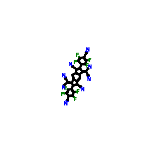 N#CC(C#N)=C1C(c2c(F)c(F)c(C#N)c(F)c2F)=C(C#N)c2cc3c(cc21)C(C#N)=C(c1c(F)c(F)c(C#N)c(F)c1F)C3=C(C#N)C#N